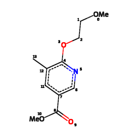 COCCOc1ncc(C(=O)OC)cc1C